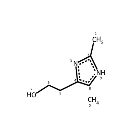 C.Cc1nc(CCO)c[nH]1